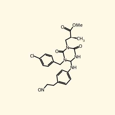 COC(=O)[C@@H](C)CN1C(=O)NC(Nc2ccc(CCN=O)cc2)N(Cc2ccc(Cl)cc2)C1=O